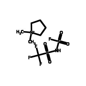 C[N+]1(C)CCCC1.O=S(=O)(F)NS(=O)(=O)C(F)(F)F